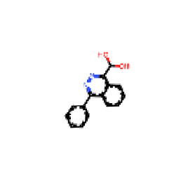 OC(O)c1nnc(-c2ccccc2)c2ccccc12